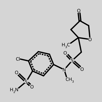 CN(c1ccc(Cl)c(S(N)(=O)=O)c1)S(=O)(=O)CC1(C)CC(=O)CO1